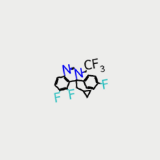 Fc1ccc(C2(CC3CC3)c3c(ccc(F)c3F)N=CN2CC(F)(F)F)cc1